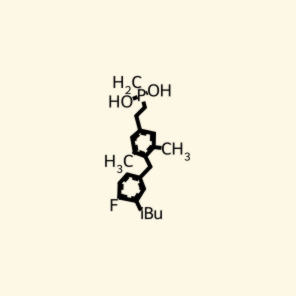 C=P(O)(O)CCc1cc(C)c(Cc2ccc(F)c(C(C)CC)c2)c(C)c1